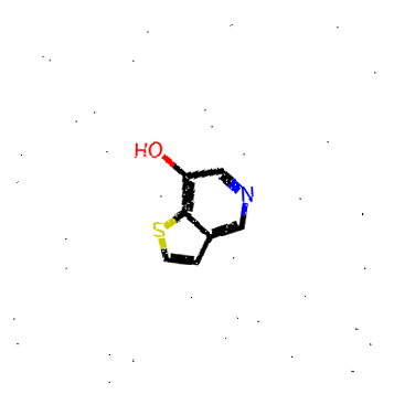 Oc1cncc2ccsc12